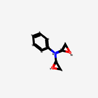 c1ccc(N(C2CO2)C2CO2)cc1